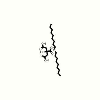 CCCCCCCCCOCCCCCCCCC.O=C(O)CC(O)(CC(=O)O)C(=O)O